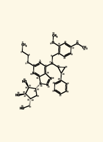 CCCSc1nc(N(Cc2ccc(OC)cc2OC)C2CC2c2ccccc2)c2nnn([C@@H]3C[C@H](CO)[C@@H](O)[C@H]3O)c2n1